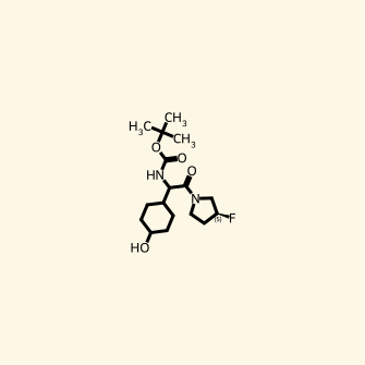 CC(C)(C)OC(=O)NC(C(=O)N1CC[C@H](F)C1)C1CCC(O)CC1